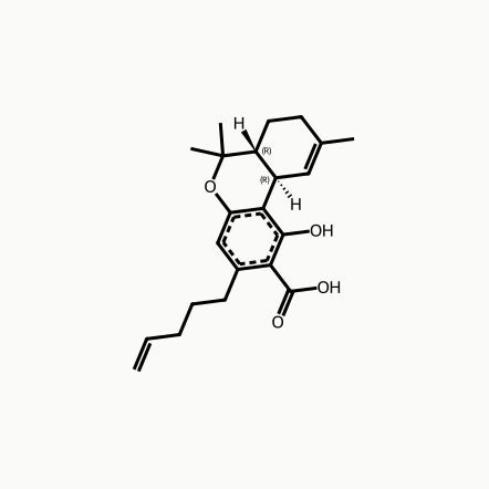 C=CCCCc1cc2c(c(O)c1C(=O)O)[C@@H]1C=C(C)CC[C@H]1C(C)(C)O2